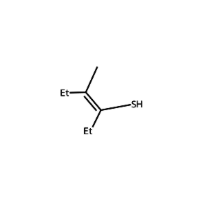 CC/C(C)=C(/S)CC